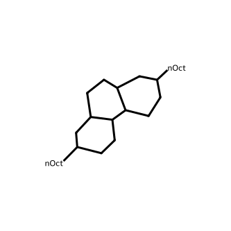 CCCCCCCCC1CCC2C(CCC3CC(CCCCCCCC)CCC32)C1